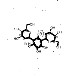 O=C(O)c1c(C2O[C@H](CO)[C@@H](O)[C@H](O)[C@H]2O)c(O)c(O)c(O)c1C1O[C@H](CO)[C@@H](O)[C@H](O)[C@H]1O